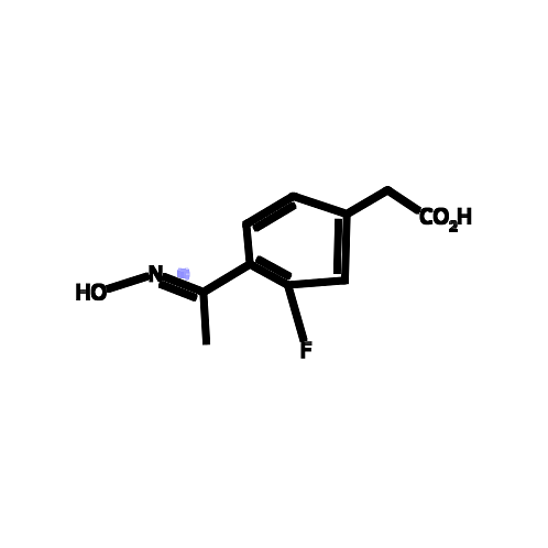 C/C(=N\O)c1ccc(CC(=O)O)cc1F